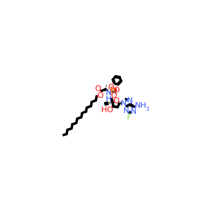 C#C[C@]1(CO[P@@](=O)(N[C@@H](C)C(=O)OCCCCCCCCCCCCCCC)Oc2ccccc2)O[C@@H](n2cnc3c(N)nc(F)nc32)C[C@@H]1O